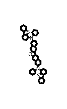 c1ccc(N(c2ccc3cc4c(cc3c2)oc2cc3cc(N(c5ccccc5)c5cccc6c5sc5ccccc56)ccc3cc24)c2cccc3c2sc2ccccc23)cc1